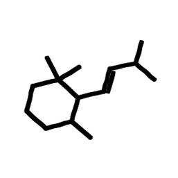 CC(C)C=CC1C(C)CCCC1(C)C